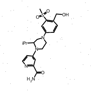 CC(C)C1CN(c2ccc(CO)c(S(C)(=O)=O)c2)CCN1c1ccnc(C(N)=O)c1